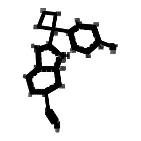 N#Cc1ccc2nc(C3(c4ccc(Br)cn4)CCC3)[nH]c2c1